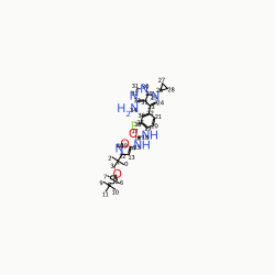 CC(C)(CO[Si](C)(C)C(C)(C)C)c1cc(NC(=O)Nc2ccc(-c3cn(C4CC4)c4ncnc(N)c34)cc2F)on1